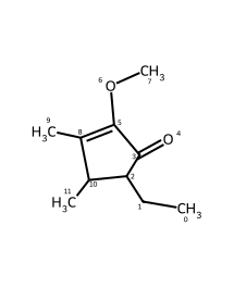 CCC1C(=O)C(OC)=C(C)C1C